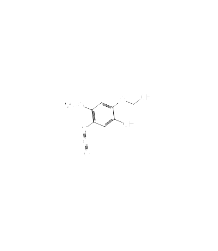 COc1cc(OCC(F)(F)F)c(C)cc1N=C=O